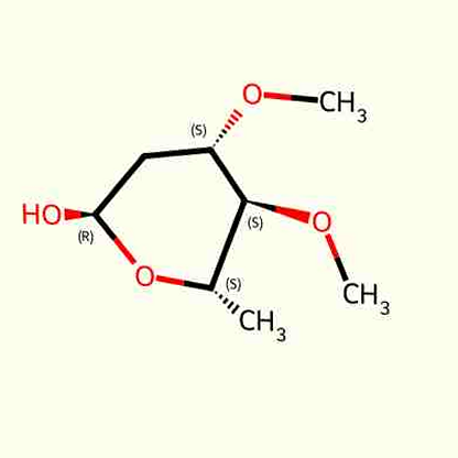 CO[C@H]1[C@H](C)O[C@@H](O)C[C@@H]1OC